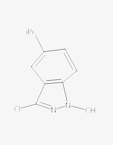 CC(C)c1ccc2c(c1)c(Cl)nn2C